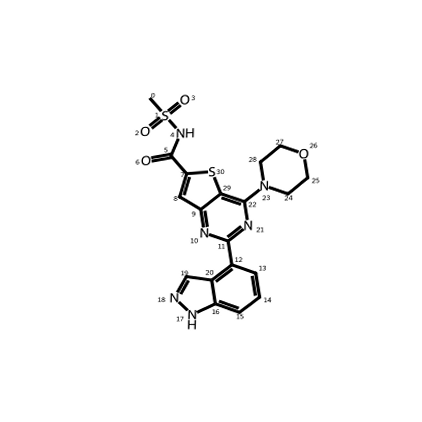 CS(=O)(=O)NC(=O)c1cc2nc(-c3cccc4[nH]ncc34)nc(N3CCOCC3)c2s1